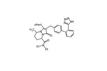 CCCCCc1c(Cc2ccc(-c3ccccc3-c3nnn[nH]3)cc2)c(=O)n2n1C(C)CCC2C(=O)N(CC)CC